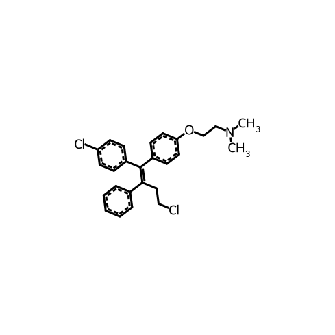 CN(C)CCOc1ccc(/C(=C(\CCCl)c2ccccc2)c2ccc(Cl)cc2)cc1